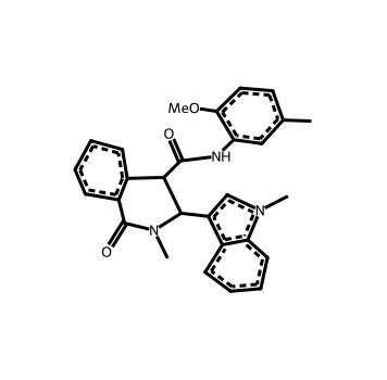 COc1ccc(C)cc1NC(=O)C1c2ccccc2C(=O)N(C)C1c1cn(C)c2ccccc12